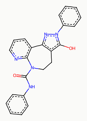 O=C(Nc1ccccc1)N1CCc2c(nn(-c3ccccc3)c2O)-c2cccnc21